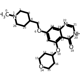 CN1CCC(COc2cc(OC3CCOCC3)c3c(=O)[nH]cnc3c2)CC1